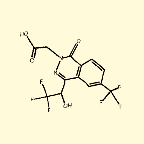 O=C(O)Cn1nc(C(O)C(F)(F)F)c2cc(C(F)(F)F)ccc2c1=O